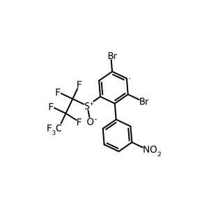 O=[N+]([O-])c1cccc(-c2c(Br)[c]c(Br)cc2[S+]([O-])C(F)(F)C(F)(F)C(F)(F)F)c1